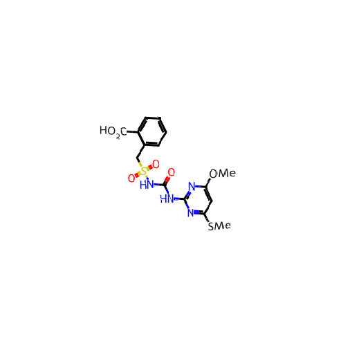 COc1cc(SC)nc(NC(=O)NS(=O)(=O)Cc2ccccc2C(=O)O)n1